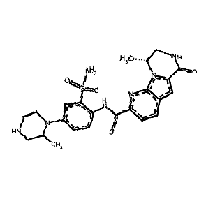 CC1CNCCN1c1ccc(NC(=O)c2ccc3cc4n(c3n2)[C@H](C)CNC4=O)c(S(N)(=O)=O)c1